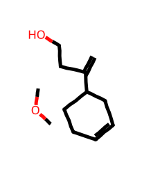 C=C(CCO)C1CC=CCC1.COC